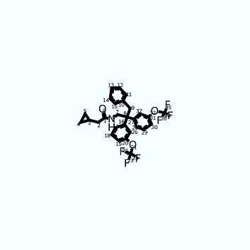 O=C(CC1CC1)NCC(Cc1ccccc1)(c1cccc(OC(F)(F)F)c1)c1cccc(OC(F)(F)F)c1